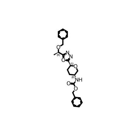 C[C@@H](OCc1ccccc1)c1nnc([C@@H]2CC[C@@H](NC(=O)OCc3ccccc3)CO2)o1